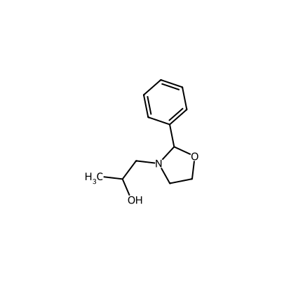 CC(O)CN1CCOC1c1ccccc1